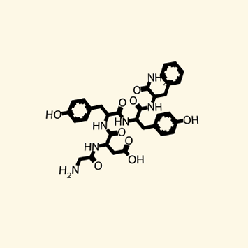 NCC(=O)NC(CC(=O)O)C(=O)NC(Cc1ccc(O)cc1)C(=O)NC(Cc1ccc(O)cc1)C(=O)NC(Cc1ccccc1)C(N)=O